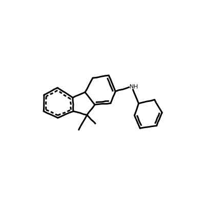 CC1(C)C2=CC(NC3C=CC=CC3)=CCC2c2ccccc21